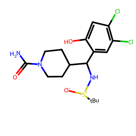 CC(C)(C)[S+]([O-])NC(c1cc(Cl)c(Cl)cc1O)C1CCN(C(N)=O)CC1